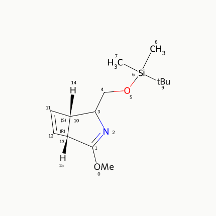 COC1=NC(CO[Si](C)(C)C(C)(C)C)[C@H]2C=C[C@@H]12